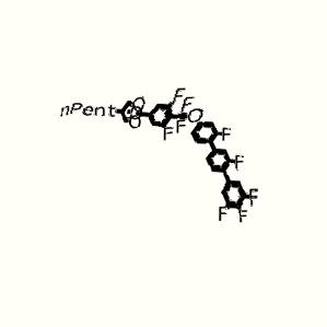 CCCCCC12COC(c3cc(F)c(C(F)(F)Oc4ccc(-c5ccc(-c6cc(F)c(F)c(F)c6)c(F)c5)c(F)c4)c(F)c3)(OC1)OC2